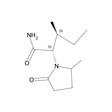 CC[C@H](C)[C@@H](C(N)=O)N1C(=O)CCC1C